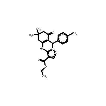 CCOC(=O)c1cnn2c1NC1=C(C(=O)CC(C)(C)C1)C2c1ccc(C)cc1